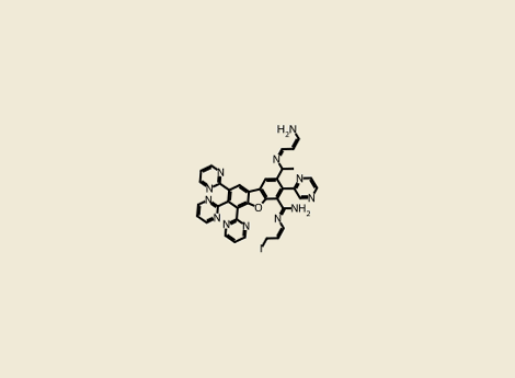 CC(/N=C\C=C/N)c1cc2c(oc3c(-c4ncccn4)c(-c4ncccn4)c(-c4ncccn4)cc32)c(/C(N)=N/C=C\CI)c1-c1cnccn1